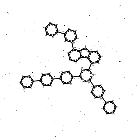 c1ccc(-c2ccc(-c3ccc(-c4nc(-c5ccc(-c6ccccc6)cc5)nc(-c5cccc6sc7c(-c8cccc(-c9ccccc9)c8)cccc7c56)n4)cc3)cc2)cc1